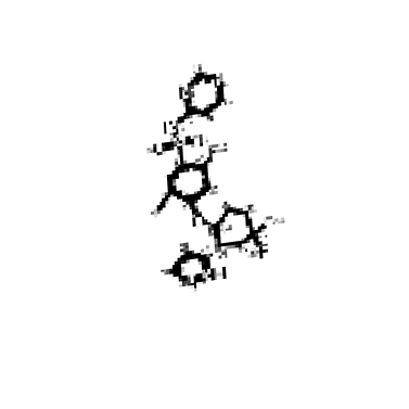 Cc1cc(S(=O)(=O)Nc2ccncn2)c(F)cc1O[C@H]1CCC(F)(F)C[C@@H]1c1ccn[nH]1